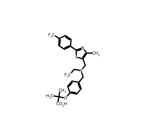 Cc1nc(-c2ccc(C(F)(F)F)cc2)sc1CN(Cc1ccc(OC(C)(C)C(=O)O)cc1)CC(F)(F)F